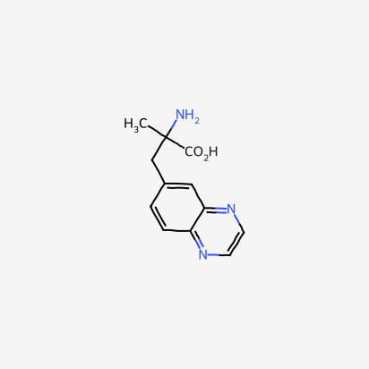 CC(N)(Cc1ccc2nccnc2c1)C(=O)O